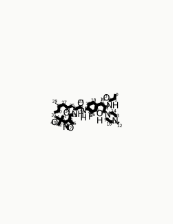 CCC(=O)N[C@@H](C(O)N1CCN(C)CC1)[C@@H](C)c1ccc(NC(=O)[C@H](CCC[C@@H](C)CC)NC(=O)c2conc2C2(C)COC2)c(F)c1